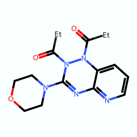 CCC(=O)N1C(N2CCOCC2)=Nc2ncccc2N1C(=O)CC